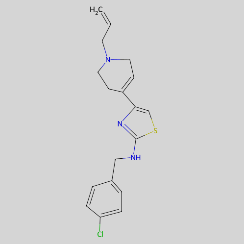 C=CCN1CC=C(c2csc(NCc3ccc(Cl)cc3)n2)CC1